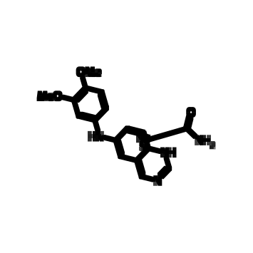 COc1ccc(NC2=CC3=CN=CNC34SC(C(N)=O)=NC4=C2)cc1OC